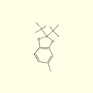 Cc1ccc2c(c1)O[Si](C(C)(C)C)(C(C)(C)C)O2